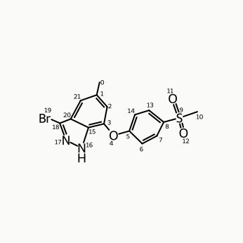 Cc1cc(Oc2ccc(S(C)(=O)=O)cc2)c2[nH]nc(Br)c2c1